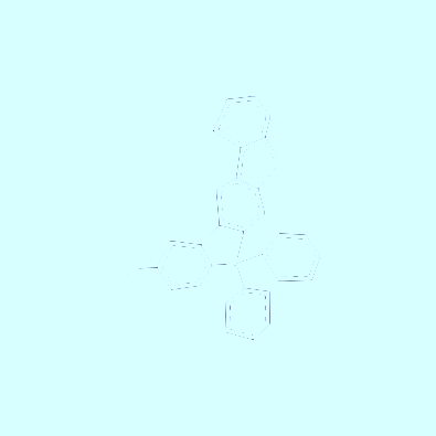 Cc1ccc2c(c1)-c1cc3c(cc1[Si]2(c1ccccc1)c1ccccc1)sc1ccccc13